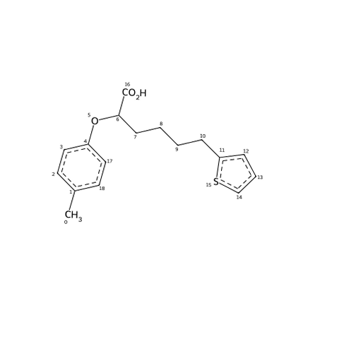 Cc1ccc(OC(CCCCc2cccs2)C(=O)O)cc1